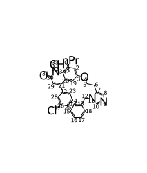 CCCc1cc(OCCc2cncn2Cc2ccccc2)cc2c(-c3cccc(Cl)c3)cc(=O)n(C)c12